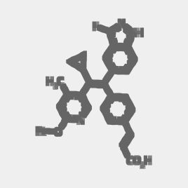 CCOc1cc(C)c(C(=C(c2ccc(C=CC(=O)O)cc2)c2ccc3[nH]nc(F)c3c2)C2CC2)cn1